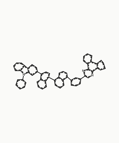 c1ccc(-n2c3ccccc3c3ccc(-c4ccc(-c5cccc6c(-c7cccc(-c8cnc9c%10ccccc%10c%10ccccc%10c9n8)c7)cccc56)c5ccccc45)cc32)cc1